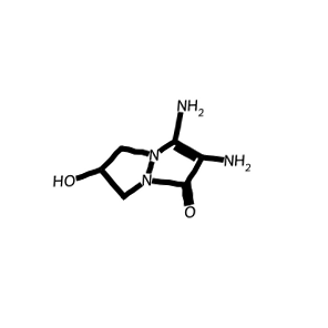 Nc1c(N)n2n(c1=O)CC(O)C2